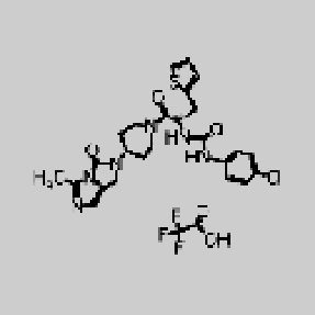 Cc1ncc2n1C(=O)N(C1CCN(C(=O)[C@@H](Cc3cccs3)NC(=O)Nc3ccc(Cl)cc3)CC1)C2.O=C(O)C(F)(F)F